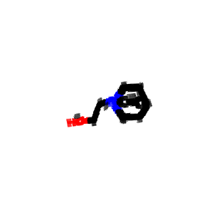 OCC[N+]12CCC(CC1)CC2